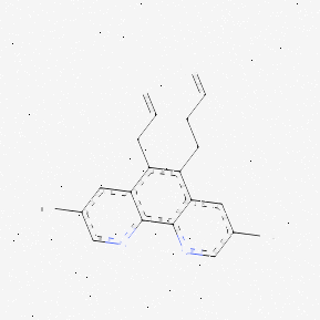 C=CCCc1c(CC=C)c2cc(C(C)C)cnc2c2ncc(C(C)(C)C)cc12